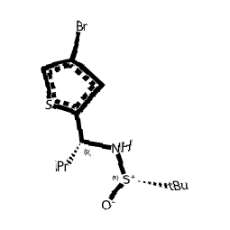 CC(C)[C@@H](N[S@@+]([O-])C(C)(C)C)c1cc(Br)cs1